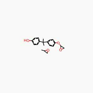 CC(C)(c1ccc(O)cc1)c1ccc(OC2CO2)cc1.CC1CO1